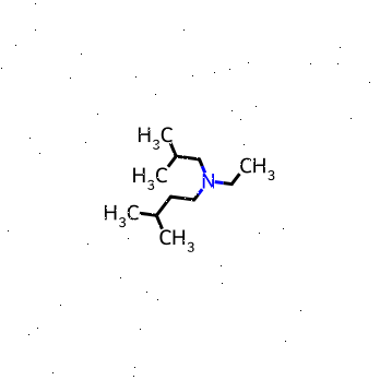 CCN(CCC(C)C)CC(C)C